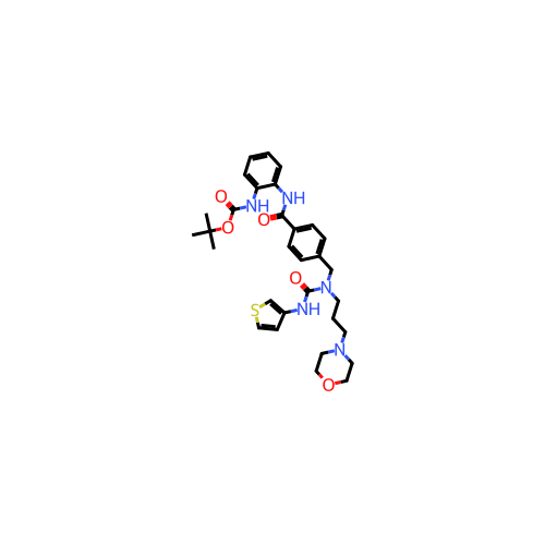 CC(C)(C)OC(=O)Nc1ccccc1NC(=O)c1ccc(CN(CCCN2CCOCC2)C(=O)Nc2ccsc2)cc1